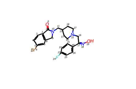 O=C1c2ccc(Br)cc2CN1CC1CCN(C/C(=N\O)c2ccc(F)cc2)CC1